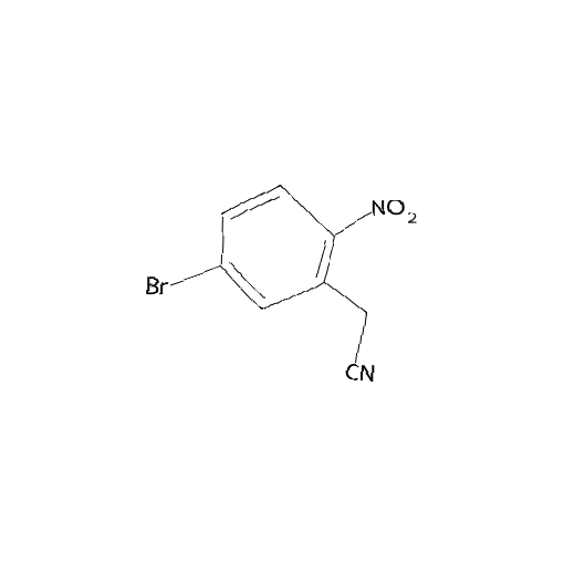 N#CCc1cc(Br)ccc1[N+](=O)[O-]